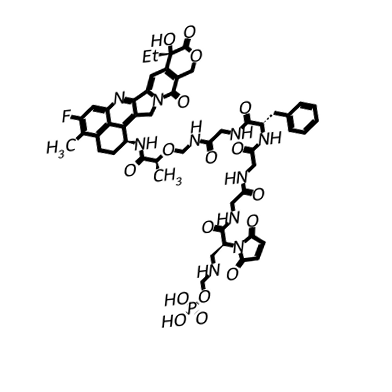 CC[C@@]1(O)C(=O)OCc2c1cc1n(c2=O)Cc2c-1nc1cc(F)c(C)c3c1c2[C@@H](NC(=O)[C@H](C)OCNC(=O)CNC(=O)[C@H](Cc1ccccc1)NC(=O)CNC(=O)CNC(=O)[C@H](CNCOP(=O)(O)O)N1C(=O)C=CC1=O)CC3